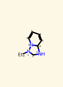 CCN1CNC2C=CC=CN21